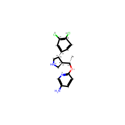 C[C@H](Oc1ccc(N)cn1)[C@H]1CNC[C@@H]1c1ccc(Cl)c(Cl)c1